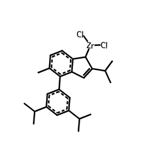 Cc1ccc2c(c1-c1cc(C(C)C)cc(C(C)C)c1)C=C(C(C)C)[CH]2[Zr]([Cl])[Cl]